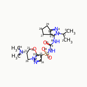 CC(C)n1nc2c(c1NC(=O)NS(=O)(=O)c1cnn3c1OC[C@@H](N(C)C)C3)CCC2